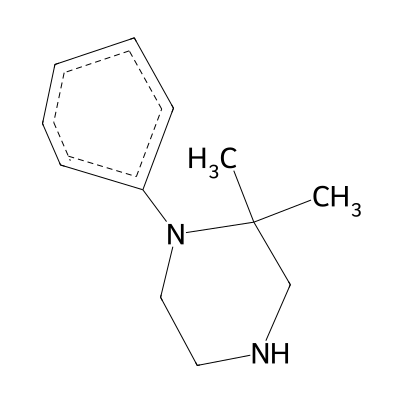 CC1(C)CNCCN1c1ccccc1